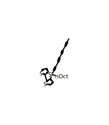 CC#CC#CC#CC#C[Si]1(CCCCCCCC)c2ccsc2-c2sccc21